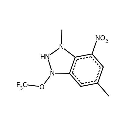 Cc1cc2c(c([N+](=O)[O-])c1)N(C)NN2OC(F)(F)F